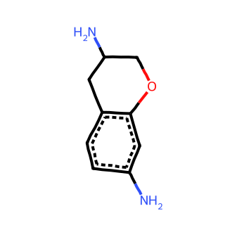 Nc1ccc2c(c1)OCC(N)C2